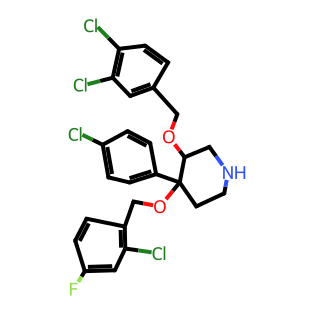 Fc1ccc(COC2(c3ccc(Cl)cc3)CCNCC2OCc2ccc(Cl)c(Cl)c2)c(Cl)c1